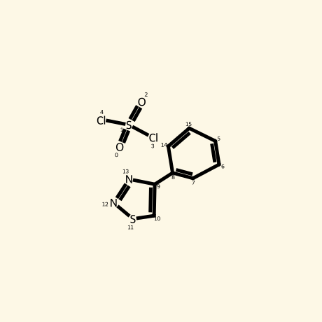 O=S(=O)(Cl)Cl.c1ccc(-c2csnn2)cc1